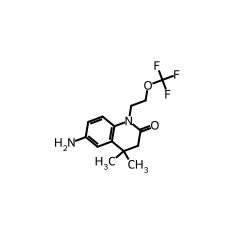 CC1(C)CC(=O)N(CCOC(F)(F)F)c2ccc(N)cc21